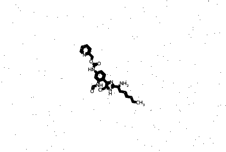 CCC/C=C/CC(N)c1nc(-c2ccc(NC(=O)OCc3ccccn3)cc2NC=O)c(Cl)[nH]1